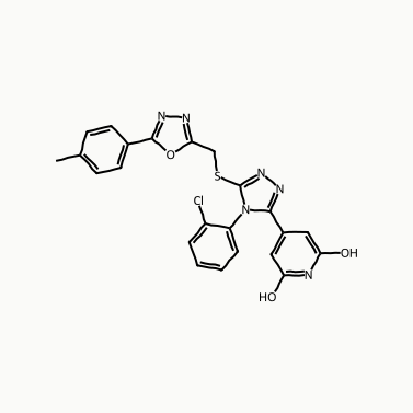 Cc1ccc(-c2nnc(CSc3nnc(-c4cc(O)nc(O)c4)n3-c3ccccc3Cl)o2)cc1